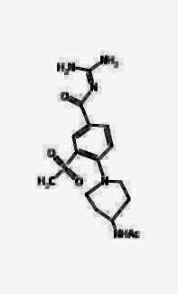 CC(=O)NC1CCN(c2ccc(C(=O)N=C(N)N)cc2S(C)(=O)=O)CC1